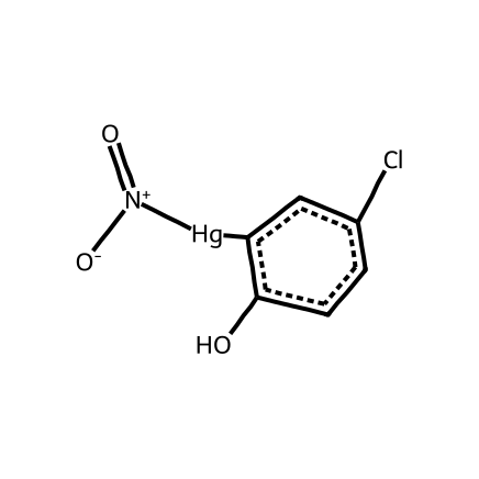 O=[N+]([O-])[Hg][c]1cc(Cl)ccc1O